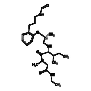 CCNC(=O)CN(C)C(=O)C(NC[C@@H](C)Oc1ccccc1CCCNC=O)C(C)CC